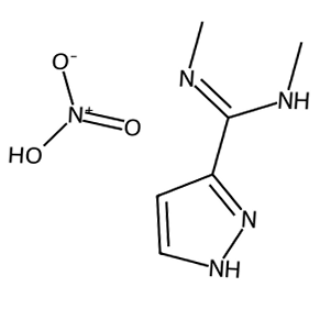 CN=C(NC)c1cc[nH]n1.O=[N+]([O-])O